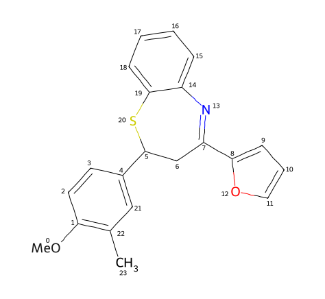 COc1ccc(C2CC(c3ccco3)=Nc3ccccc3S2)cc1C